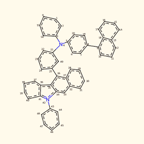 c1ccc(N(c2ccc(-c3cccc4ccccc34)cc2)c2cccc(-c3c4ccccc4cc4c3c3ccccc3n4-c3ccccc3)c2)cc1